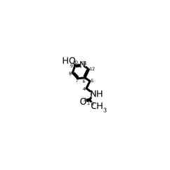 CC(=O)NCCc1ccc(O)nc1